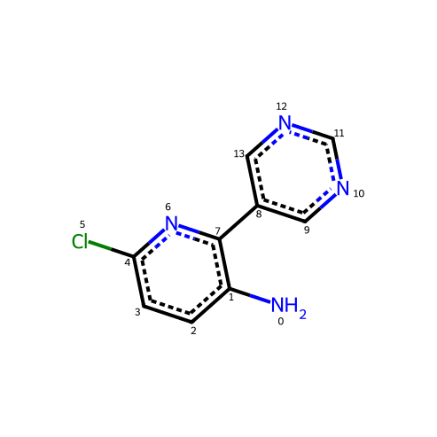 Nc1ccc(Cl)nc1-c1cncnc1